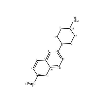 CCCCCc1ccc2cc(C3CCC(CCCC)CC3)ccc2c1